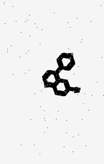 Brc1ccc2nccc(-c3ccncc3)c2c1